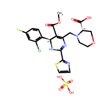 COC(=O)C1=C(CN2CCOC[C@H]2C(=O)O)N=C(c2nccs2)N[C@H]1c1ccc(F)cc1Cl.O=S(=O)(O)O